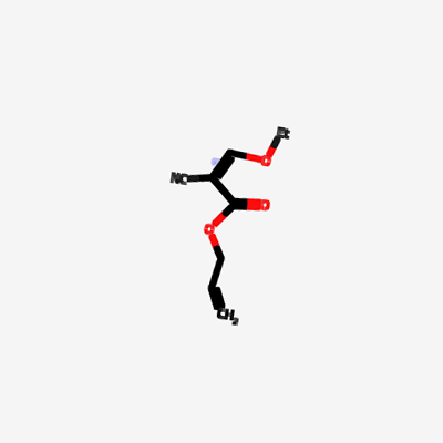 C=CCOC(=O)/C(C#N)=C\OCC